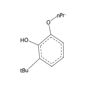 CC[CH]Oc1cccc(C(C)(C)C)c1O